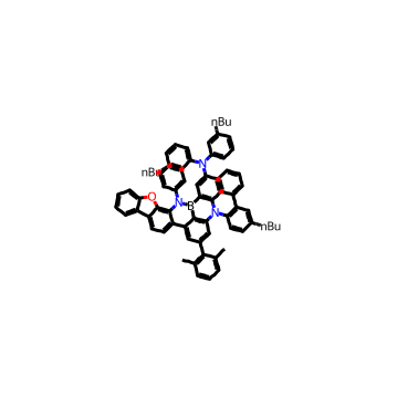 CCCCc1cccc(N(c2cccc(CCCC)c2)c2ccc3c(c2)B2c4c(cc(-c5c(C)cccc5C)cc4N3c3ccc(CCCC)cc3-c3ccccc3)-c3ccc4c(oc5ccccc54)c3N2c2ccccc2)c1